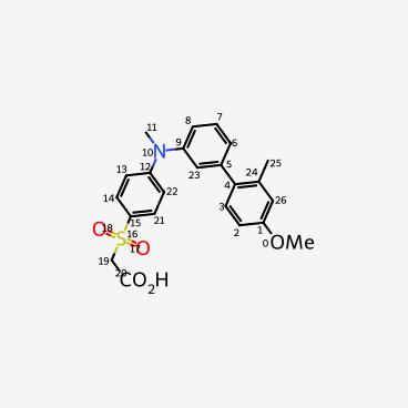 COc1ccc(-c2cccc(N(C)c3ccc(S(=O)(=O)CC(=O)O)cc3)c2)c(C)c1